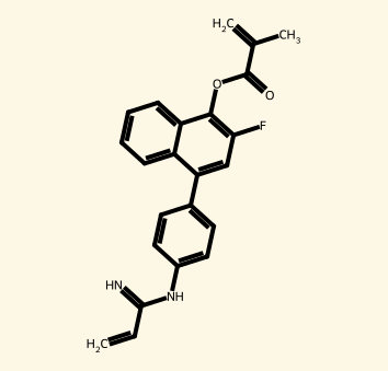 C=CC(=N)Nc1ccc(-c2cc(F)c(OC(=O)C(=C)C)c3ccccc23)cc1